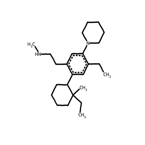 CCc1cc(C2CCCCC2(C)CC)c(CCNC)cc1N1CCCCC1